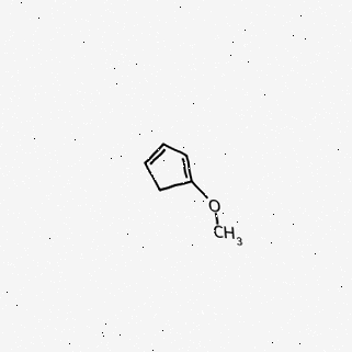 COC1=CC=CC1